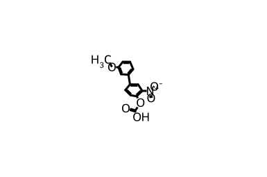 COc1cccc(-c2ccc(OC(=O)O)c([N+](=O)[O-])c2)c1